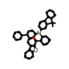 CC1(C)c2ccccc2-c2ccc(N(c3ccc(-c4ccccc4)cc3)c3ccccc3-c3cccc4c3oc3ccccc34)cc21